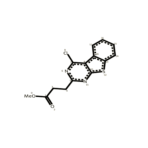 COC(=O)CCc1nc(Cl)c2c(n1)sc1ccccc12